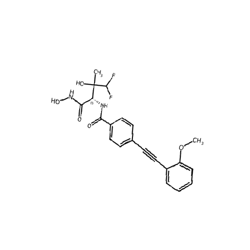 COc1ccccc1C#Cc1ccc(C(=O)N[C@H](C(=O)NO)C(C)(O)C(F)F)cc1